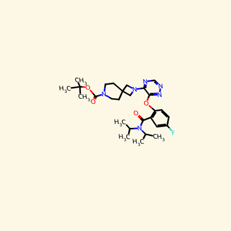 CC(C)N(C(=O)c1cc(F)ccc1Oc1nncnc1N1CC2(CCN(C(=O)OC(C)(C)C)CC2)C1)C(C)C